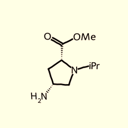 COC(=O)[C@H]1C[C@@H](N)CN1C(C)C